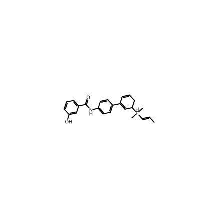 CC=C[PH](C)(C)C1C=C(c2ccc(NC(=O)c3cccc(O)c3)cc2)C=CC1